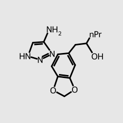 CCCC(O)Cc1ccc2c(c1)OCO2.Nc1c[nH]nn1